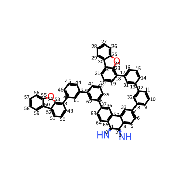 N=C1C(=N)c2ccc(-c3cccc(-c4cccc(-c5cccc6c5oc5ccccc56)c4)c3)cc2-c2cc(-c3cccc(-c4cccc(-c5cccc6c5oc5ccccc56)c4)c3)ccc21